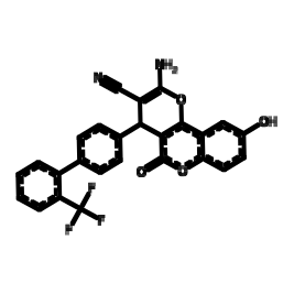 N#CC1=C(N)Oc2c(c(=O)oc3ccc(O)cc23)C1c1ccc(-c2ccccc2C(F)(F)F)cc1